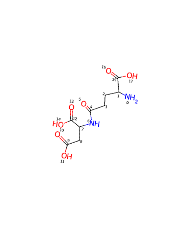 NC(CCC(=O)NC(CC(=O)O)C(=O)O)C(=O)O